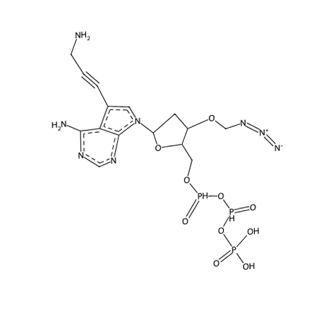 [N-]=[N+]=NCOC1CC(n2cc(C#CCN)c3c(N)ncnc32)OC1CO[PH](=O)O[PH](=O)OP(=O)(O)O